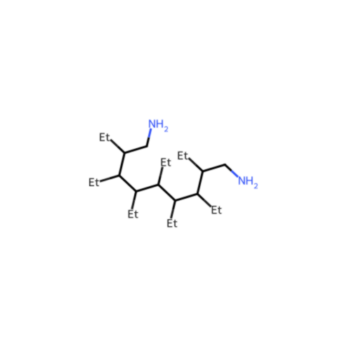 CCC(CN)C(CC)C(CC)C(CC)C(CC)C(CC)C(CC)CN